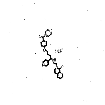 Cl.Cl.O=C(c1ccc(OCCCC(NCCn2ccc3ccccc3c2=O)c2ccncc2)cc1)N1CCOCC1